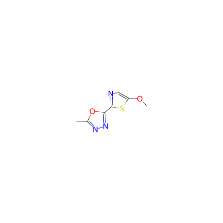 COc1cnc(-c2nnc(C)o2)s1